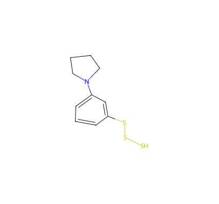 SSSc1cccc(N2CCCC2)c1